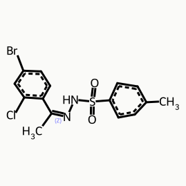 C/C(=N/NS(=O)(=O)c1ccc(C)cc1)c1ccc(Br)cc1Cl